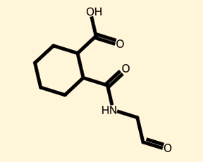 O=CCNC(=O)C1CCCCC1C(=O)O